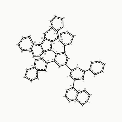 c1ccc(-c2nc(-c3cc(-c4ccccc4)c(-n4c5cc6ccccc6cc5c5c6ccccc6ccc54)c(-c4ccc5ccccc5c4)c3)nc(-c3cccc4ccccc34)n2)cc1